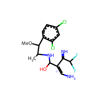 COC(c1ccc(Cl)cc1Cl)C(C)NC(O)/C(=C/N)C(=N)C(F)F